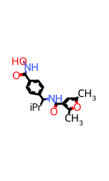 Cc1cc(C(=O)NC(c2ccc(C(=O)NO)cc2)C(C)C)c(C)o1